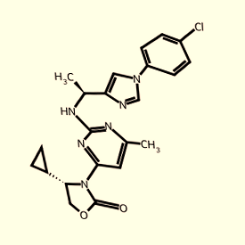 Cc1cc(N2C(=O)OC[C@@H]2C2CC2)nc(N[C@@H](C)c2cn(-c3ccc(Cl)cc3)cn2)n1